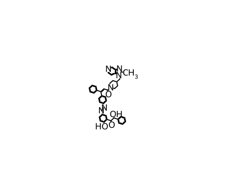 Cc1nc2cnccc2n1CC1CCN(C(=O)C=C(c2ccccc2)c2ccc(N=Nc3ccc(O)c(C(=O)C(O)c4ccccc4)c3)cc2)CC1